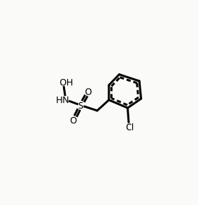 O=S(=O)(Cc1ccccc1Cl)NO